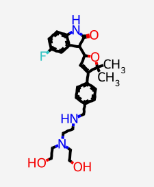 CC1(C)OC(C2C(=O)Nc3ccc(F)cc32)C=C1c1ccc(CNCCN(CCO)CCO)cc1